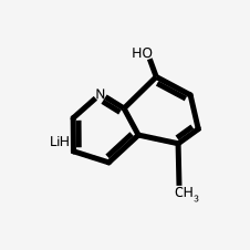 Cc1ccc(O)c2ncccc12.[LiH]